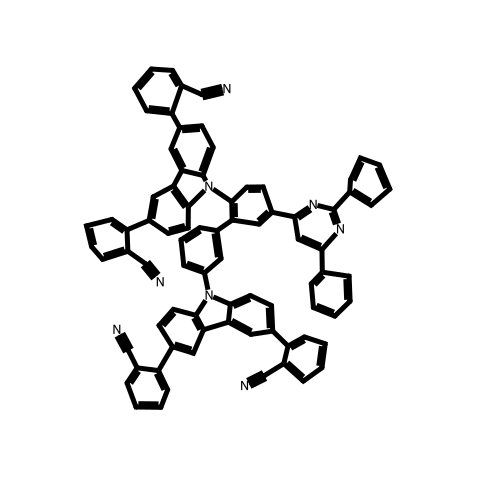 N#Cc1ccccc1-c1ccc2c(c1)c1cc(-c3ccccc3C#N)ccc1n2-c1cccc(-c2cc(-c3cc(-c4ccccc4)nc(-c4ccccc4)n3)ccc2-n2c3ccc(-c4ccccc4C#N)cc3c3cc(-c4ccccc4C#N)ccc32)c1